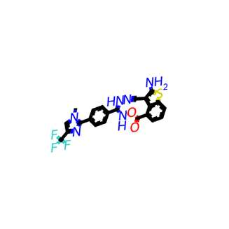 Cn1cc(C(F)(F)F)nc1-c1ccc(C(=N)NOC(=O)c2cccc3sc(N)c(C#N)c23)cc1